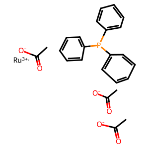 CC(=O)[O-].CC(=O)[O-].CC(=O)[O-].[Ru+3].c1ccc(P(c2ccccc2)c2ccccc2)cc1